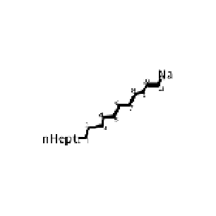 CCCCCCCCCCCCCCCC/C=[CH]/[Na]